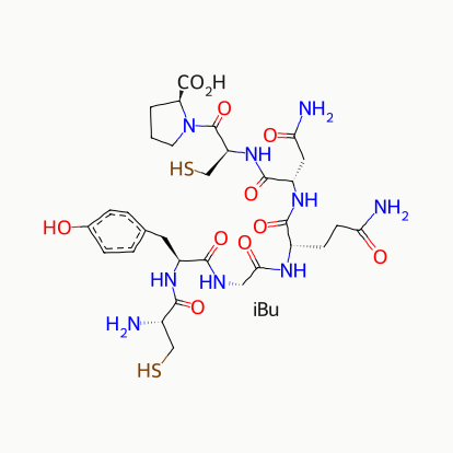 CC[C@H](C)[C@H](NC(=O)[C@H](Cc1ccc(O)cc1)NC(=O)[C@@H](N)CS)C(=O)N[C@@H](CCC(N)=O)C(=O)N[C@@H](CC(N)=O)C(=O)N[C@@H](CS)C(=O)N1CCC[C@H]1C(=O)O